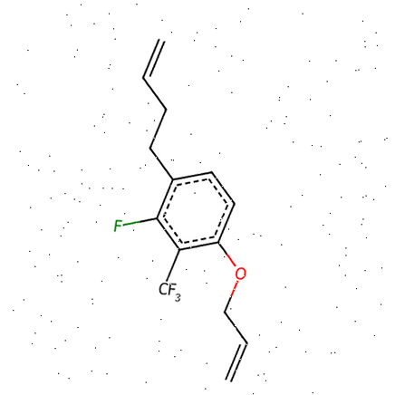 C=CCCc1ccc(OCC=C)c(C(F)(F)F)c1F